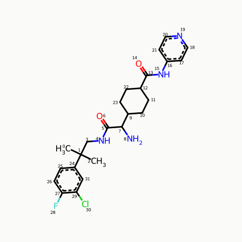 CC(C)(CNC(=O)C(N)C1CCC(C(=O)Nc2ccncc2)CC1)c1ccc(F)c(Cl)c1